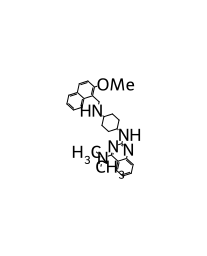 COc1ccc2ccccc2c1CN[C@H]1CC[C@@H](Nc2nc(N(C)C)c3ccccc3n2)CC1